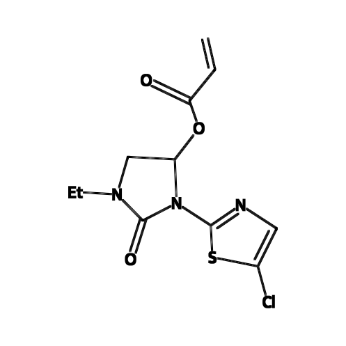 C=CC(=O)OC1CN(CC)C(=O)N1c1ncc(Cl)s1